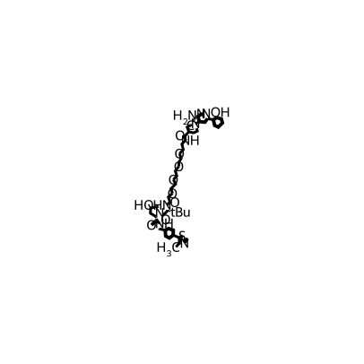 Cc1ncsc1-c1ccc(CNC(=O)[C@@H]2C[C@@H](O)CN2C(=O)[C@@H](NC(=O)COCCOCCOCCOCCNC(=O)C2CCN(c3cc(-c4ccccc4O)nnc3N)CC2)C(C)(C)C)cc1